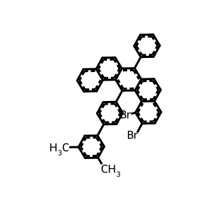 Cc1cc(C)cc(-c2ccc(-c3c4c(ccc5ccccc54)c(-c4ccccc4)c4ccc5ccc(Br)c(Br)c5c34)cc2)c1